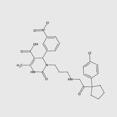 CC1=C(C(=O)O)C(c2cccc([N+](=O)[O-])c2)N(CCCNCC(=O)C2(c3ccc(Cl)cc3)CCCC2)C(=O)N1